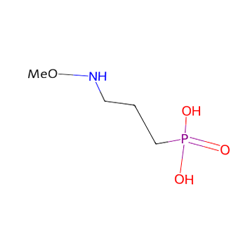 CONCCCP(=O)(O)O